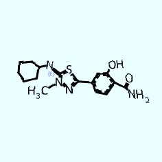 Cn1nc(-c2ccc(C(N)=O)c(O)c2)s/c1=N/C1CCCCC1